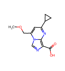 COCc1cc(C2CC2)nc2c(C(=O)O)ncn12